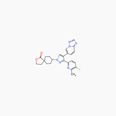 Cc1nc(-c2nn(C3CCC4(CCOC4=O)CC3)cc2-c2ccc3ncnn3c2)ccc1F